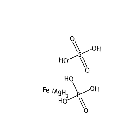 O=P(O)(O)O.O=S(=O)(O)O.[Fe].[MgH2]